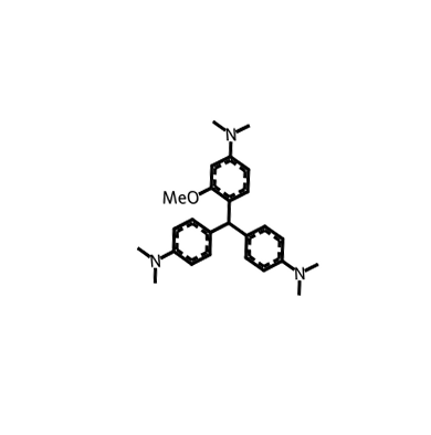 COc1cc(N(C)C)ccc1C(c1ccc(N(C)C)cc1)c1ccc(N(C)C)cc1